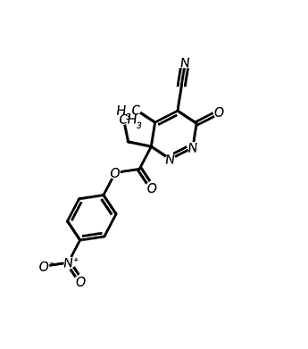 CCC1(C(=O)Oc2ccc([N+](=O)[O-])cc2)N=NC(=O)C(C#N)=C1C